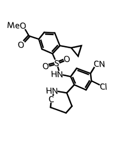 COC(=O)c1ccc(C2CC2)c(S(=O)(=O)Nc2cc(C#N)c(Cl)cc2C2CCCCN2)c1